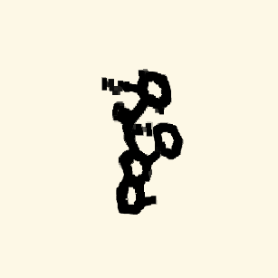 Cc1cccc2cc(CNC(=O)c3nccnc3N)c(N3CCCCC3)nc12